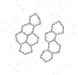 c1ccc2c(c1)cc1ccc3cccc4ccc2c1c34.c1ccc2c(c1)ccc1c3ccccc3ccc21